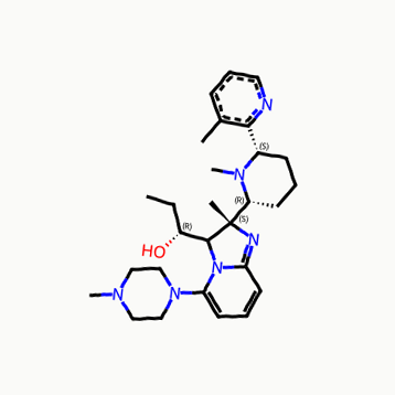 CC[C@@H](O)C1N2C(N3CCN(C)CC3)=CC=CC2=N[C@@]1(C)[C@H]1CCC[C@@H](c2ncccc2C)N1C